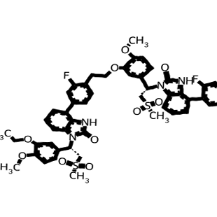 CCOc1cc([C@@H](CS(C)(=O)=O)n2c(=O)[nH]c3c(-c4ccc(CCOc5cc([C@@H](CS(C)(=O)=O)n6c(=O)[nH]c7c(-c8ccccc8F)cccc76)ccc5OC)c(F)c4)cccc32)ccc1OC